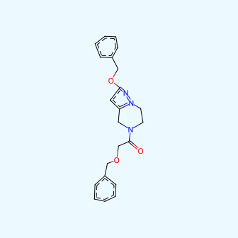 O=C(COCc1ccccc1)N1CCn2nc(OCc3ccccc3)cc2C1